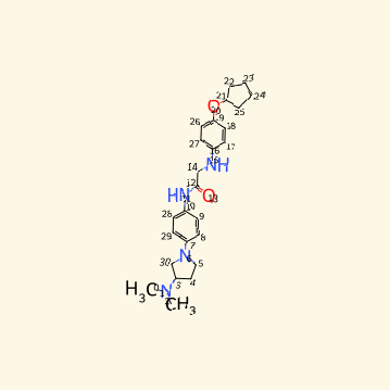 CN(C)[C@@H]1CCN(c2ccc(NC(=O)CNc3ccc(OC4CCCC4)cc3)cc2)C1